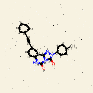 Cc1ccc(-n2nc3c4cc(C#Cc5ccccc5)ccc4[nH]c(=O)n3c2=O)cc1